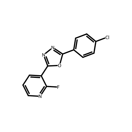 Fc1ncccc1-c1nnc(-c2ccc(Cl)cc2)o1